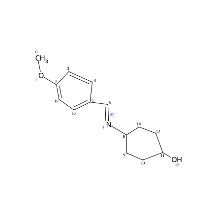 COc1ccc(/C=N/C2CCC(O)CC2)cc1